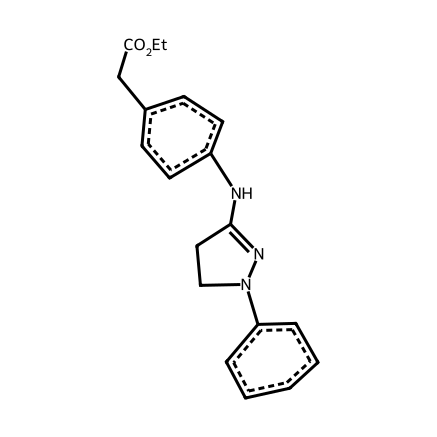 CCOC(=O)Cc1ccc(NC2=NN(c3ccccc3)CC2)cc1